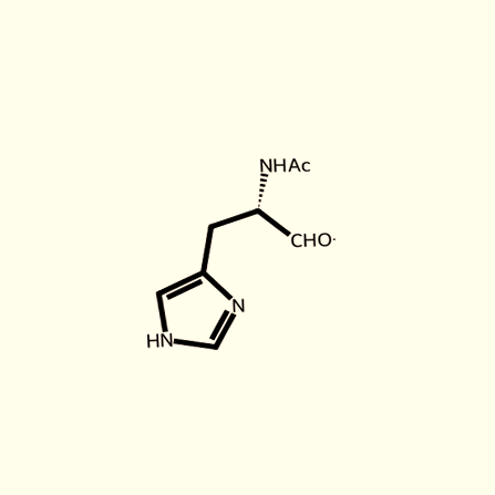 CC(=O)N[C@H]([C]=O)Cc1c[nH]cn1